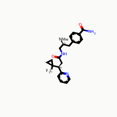 CN[C@H](CNC(=O)C[C@@H](c1ccccn1)C1(C(F)(F)F)CC1)Cc1ccc(C(N)=O)cc1